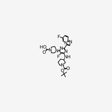 CC(C)(C)OC(=O)N1CCCC(Nc2nc(-c3cnc4ccc(F)cn34)nc(N3CCN(C(=O)O)CC3)c2F)C1